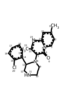 Cc1ccn2c(=O)c(N3CCNCC3c3ccccc3Cl)c(C)nc2c1